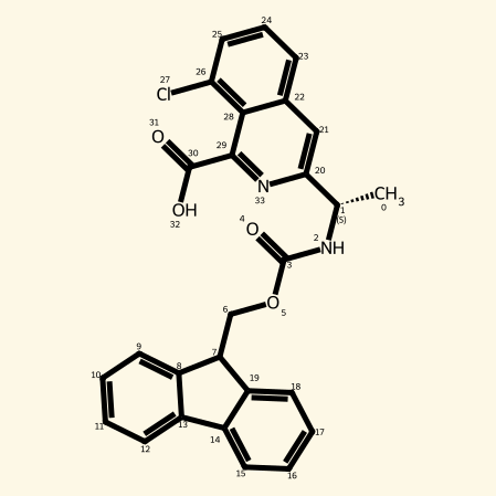 C[C@H](NC(=O)OCC1c2ccccc2-c2ccccc21)c1cc2cccc(Cl)c2c(C(=O)O)n1